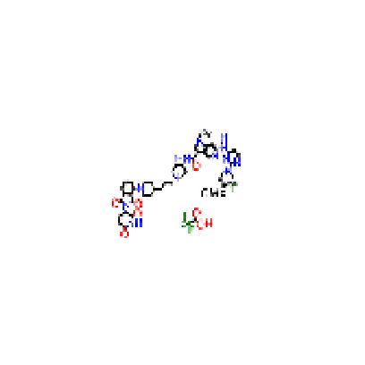 CO[C@@H]1CCN(c2nccc(Nc3cc4c(cn3)c(C(=O)NC3CCN(CCCC5CCN(c6cccc7c6C(=O)N(C6CCC(=O)NC6=O)C7=O)CC5)CC3)cn4C(C)C)n2)C[C@@H]1F.O=C(O)C(F)(F)F